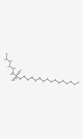 CCCCCCCCCCCCCCCCS(=O)(=O)OCCCCC